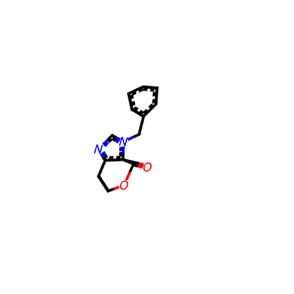 O=C1OCCc2ncn(Cc3ccccc3)c21